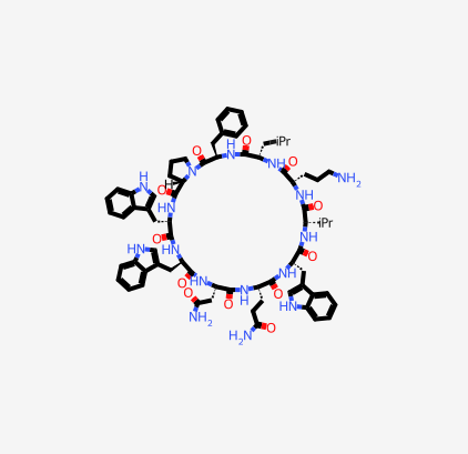 CC(C)C[C@@H]1NC(=O)[C@H](CCCN)NC(=O)[C@H](C(C)C)NC(=O)[C@H](Cc2c[nH]c3ccccc23)NC(=O)[C@H](CCC(N)=O)NC(=O)[C@H](CC(N)=O)NC(=O)[C@@H](Cc2c[nH]c3ccccc23)NC(=O)[C@H](Cc2c[nH]c3ccccc23)NC(=O)[C@@H]2CCCN2C(=O)[C@@H](Cc2ccccc2)NC1=O